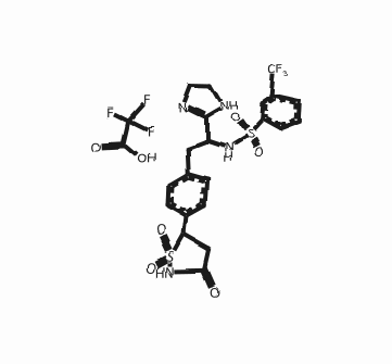 O=C(O)C(F)(F)F.O=C1CC(c2ccc(CC(NS(=O)(=O)c3cccc(C(F)(F)F)c3)C3=NCCN3)cc2)S(=O)(=O)N1